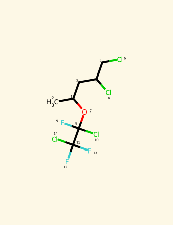 CC(CC(Cl)CCl)OC(F)(Cl)C(F)(F)Cl